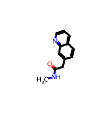 CNC(=O)Cc1ccc2cccnc2c1